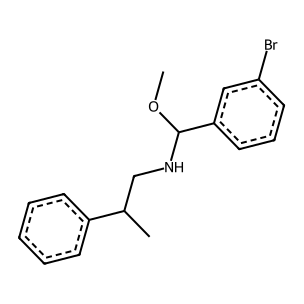 COC(NCC(C)c1ccccc1)c1cccc(Br)c1